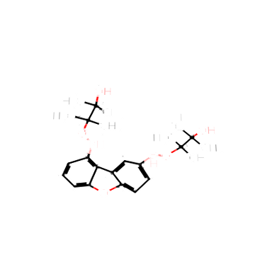 CC(C)(O)C(C)(C)OBc1ccc2oc3cccc(BOC(C)(C)C(C)(C)O)c3c2c1